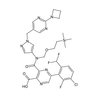 C[Si](C)(C)CCOCN(C(=O)c1nc(-c2c(C(F)F)ccc(Cl)c2F)cnc1C(=O)O)c1cnn(Cc2cnc(N3CCC3)nc2)c1